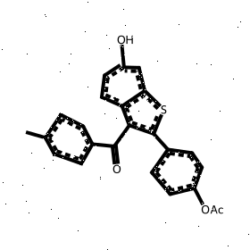 CC(=O)Oc1ccc(-c2sc3cc(O)ccc3c2C(=O)c2ccc(C)cc2)cc1